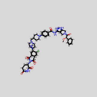 CO[C@@H](C(=O)N1Cc2[nH]nc(NC(=O)c3ccc(N4CCC(CN5CC6CCC5CN6c5cc6c(cc5F)C(=O)N(C5CCC(=O)NC5=O)C6=O)CC4)cc3)c2C1)c1ccccc1